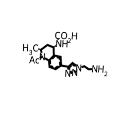 CC(=O)N1c2ccc(-c3cn(CCN)nn3)cc2[C@H](NC(=O)O)C[C@@H]1C